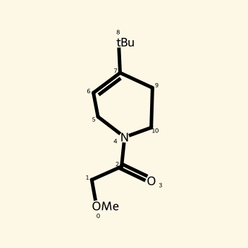 COCC(=O)N1CC=C(C(C)(C)C)CC1